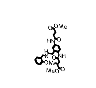 COC(=O)CCC(=O)Nc1ccc(NC(=O)CCC(=O)OC)c(CCNCc2ccccc2OC)c1